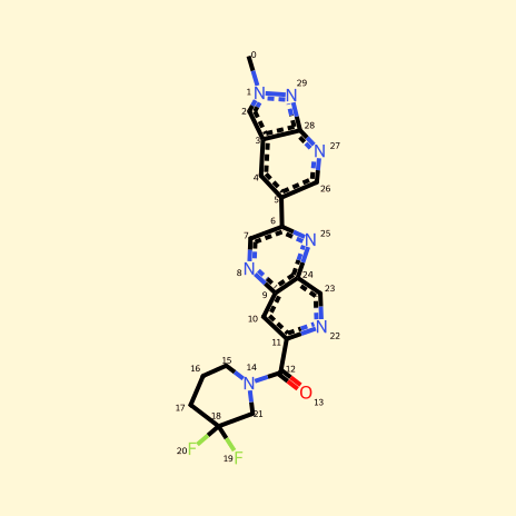 Cn1cc2cc(-c3cnc4cc(C(=O)N5CCCC(F)(F)C5)ncc4n3)cnc2n1